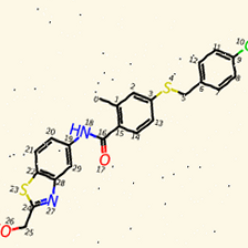 Cc1cc(SCc2ccc(Cl)cc2)ccc1C(=O)Nc1ccc2sc(CO)nc2c1